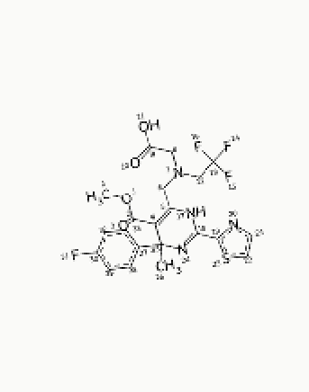 COC(=O)C1=C(CN(CC(=O)O)CC(F)(F)F)NC(c2nccs2)=NC1(C)c1ccc(F)cc1